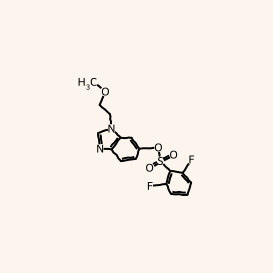 COCCn1cnc2ccc(OS(=O)(=O)c3c(F)cccc3F)cc21